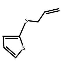 C=CCSc1cc[c]s1